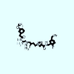 CC(C)Cc1ccc(F)c(CNC(=O)c2cn(CCC(F)CN(N)/C=C(\N)NC(=O)Cc3cccc(OC(F)(F)F)c3)nn2)c1